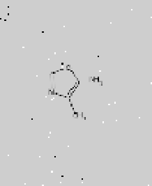 Cc1cocn1.N